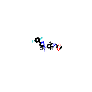 Fc1ccc(F)c(-c2cc(C(F)(F)F)c(N[C@@H]3C[C@@H]4CN(C[C@H]5COCCO5)C[C@@H]4C3)nn2)c1